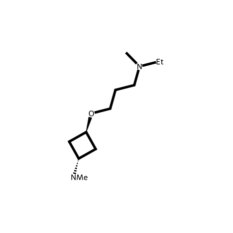 CCN(C)CCCO[C@H]1C[C@H](NC)C1